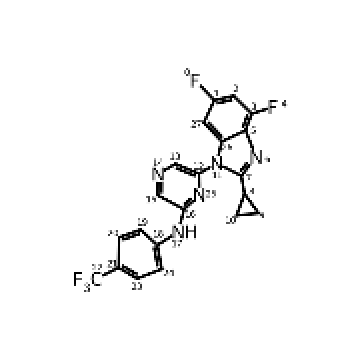 Fc1cc(F)c2nc(C3CC3)n(-c3cncc(Nc4ccc(C(F)(F)F)cc4)n3)c2c1